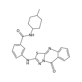 CC1CCC(NC(=O)c2cccc(Nc3nn4c(=O)c5ccccc5nc4s3)c2)CC1